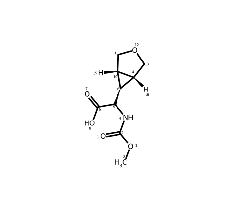 COC(=O)NC(C(=O)O)[C@H]1[C@@H]2COC[C@@H]21